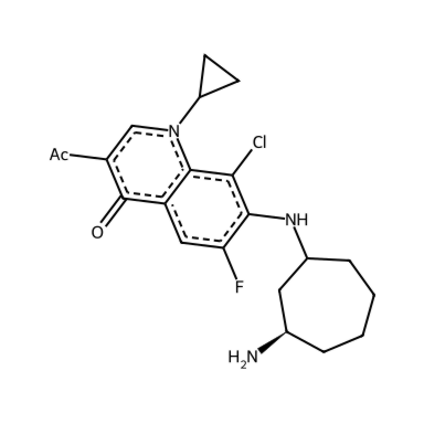 CC(=O)c1cn(C2CC2)c2c(Cl)c(NC3CCCC[C@@H](N)C3)c(F)cc2c1=O